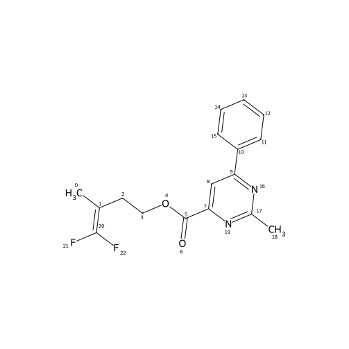 CC(CCOC(=O)c1cc(-c2ccccc2)nc(C)n1)=C(F)F